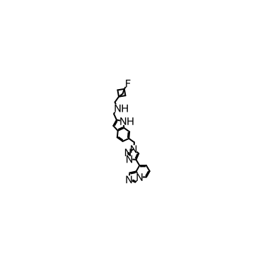 FC12CC(CNCc3cc4ccc(Cn5cc(-c6cccn7cncc67)nn5)cc4[nH]3)(C1)C2